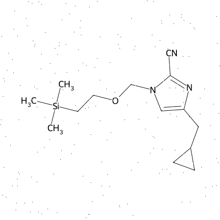 C[Si](C)(C)CCOCn1cc(CC2CC2)nc1C#N